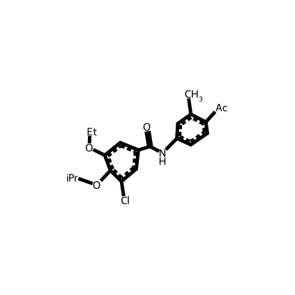 CCOc1cc(C(=O)Nc2ccc(C(C)=O)c(C)c2)cc(Cl)c1OC(C)C